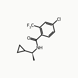 C[C@H](NC(=O)c1ccc(Cl)cc1C(F)(F)F)C1CC1